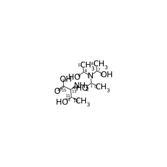 CC(O)N(C(C)O)C(C)O.C[C@@H](O)[C@H](N)C(=O)O